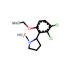 COCOc1ccc(Cl)c(Cl)c1C1CCCN1C(=O)O